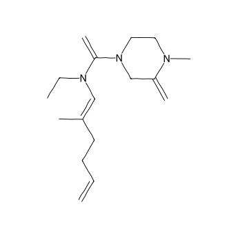 C=CCC/C(C)=C/N(CC)C(=C)N1CCN(C)C(=C)C1